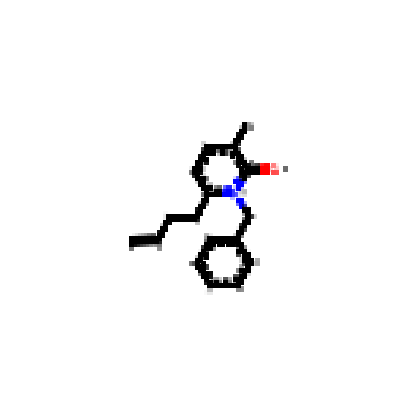 C=CCCc1ccc(C)c(=O)n1Cc1ccccc1